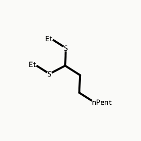 CCCCCCCC(SCC)SCC